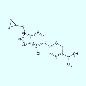 OC(c1ccc(-c2ccc3c(nnn3CC3CC3)c2Cl)cc1)C(F)(F)F